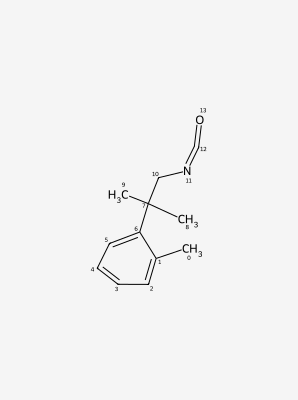 Cc1ccccc1C(C)(C)CN=C=O